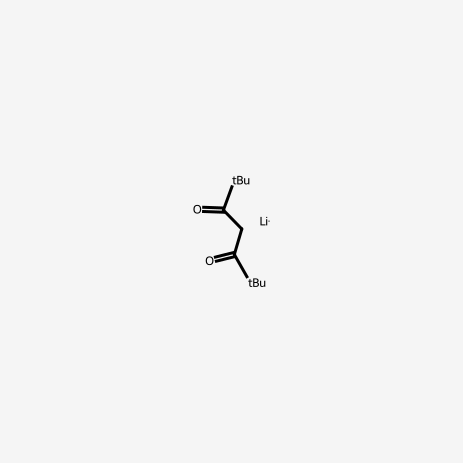 CC(C)(C)C(=O)CC(=O)C(C)(C)C.[Li]